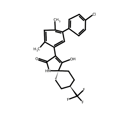 Cc1cc(C)c(-c2ccc(Cl)cc2)cc1C1=C(O)[C@]2(CC[C@H](C(F)(F)F)CC2)NC1=O